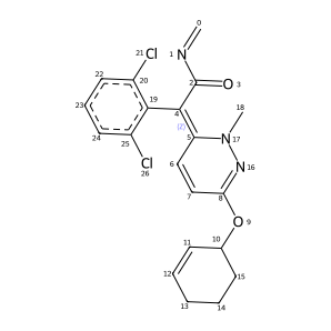 C=NC(=O)/C(=C1/C=CC(OC2C=CCCC2)=NN1C)c1c(Cl)cccc1Cl